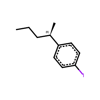 CCC[C@@H](C)c1ccc(I)cc1